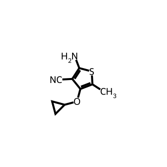 Cc1sc(N)c(C#N)c1OC1CC1